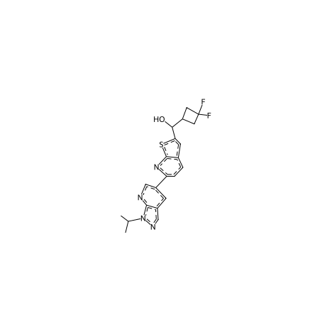 CC(C)n1ncc2cc(-c3ccc4cc(C(O)C5CC(F)(F)C5)sc4n3)cnc21